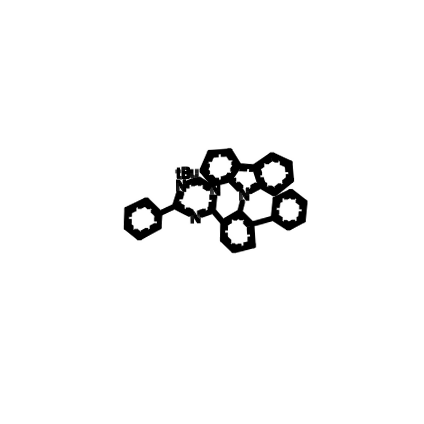 CC(C)(C)c1nc(-c2ccccc2)nc(-c2cccc(-c3ccccc3)c2-n2c3ccccc3c3ccccc32)n1